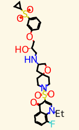 CCn1cc(S(=O)(=O)N2CCC3(CC2)C[C@@H](NC[C@H](O)COc2cccc(S(=O)(=O)C4CC4)c2)CO3)c(=O)c2cccc(F)c21